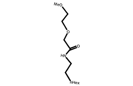 CCCCCCCCNC(=O)COCCOC